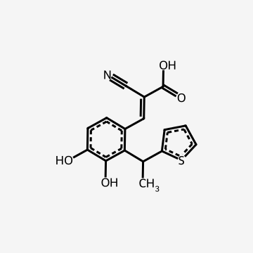 CC(c1cccs1)c1c(/C=C(\C#N)C(=O)O)ccc(O)c1O